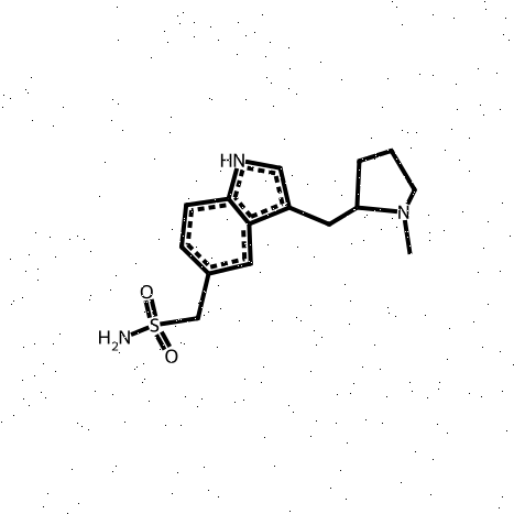 CN1CCCC1Cc1c[nH]c2ccc(CS(N)(=O)=O)cc12